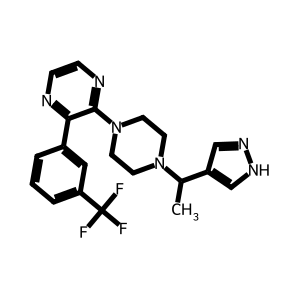 CC(c1cn[nH]c1)N1CCN(c2nccnc2-c2cccc(C(F)(F)F)c2)CC1